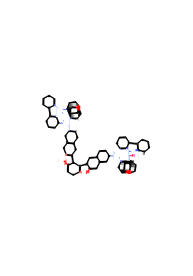 Cc1ccccc1N(c1ccc2cc3c(cc2c1)oc1ccc2oc4cc5cc(N(c6ccccc6C)c6cccc7c8ccccc8n(-c8ccccc8)c67)ccc5cc4c2c13)c1cccc2c3ccccc3n(-c3ccccc3)c12